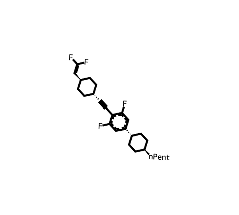 CCCCC[C@H]1CC[C@H](c2cc(F)c(C#C[C@H]3CC[C@H](C=C(F)F)CC3)c(F)c2)CC1